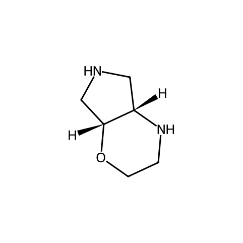 C1CO[C@@H]2CNC[C@@H]2N1